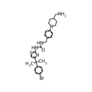 CC(C)(c1ccc(Br)cc1)c1csc(NC(=O)NCc2ccc(N3CCC(CN)CC3)cc2)n1